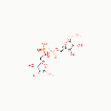 BB[C@@H]1O[C@H](COP(=O)(O)CP(=O)(O)OC[C@H]2O[C@@H](B)C(O)C2O)[C@H](O)C1O